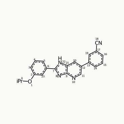 CC(C)Oc1cccc(-c2nc3ncc(-c4cccc(C#N)c4)cc3[nH]2)c1